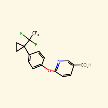 O=C(O)c1ccc(Oc2ccc(C3(C(F)(F)C(F)(F)F)CC3)cc2)nc1